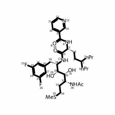 CCCC(CCC)CC[C@@H](NC(=O)c1cccnc1)C(=O)N[C@@H](Cc1cc(F)cc(F)c1)[C@@H](O)[C@H](O)[C@@H](CCSC)NC(C)=O